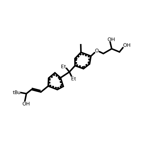 CCC(CC)(c1ccc(C=CC(O)C(C)(C)C)cc1)c1ccc(OCC(O)CO)c(C)c1